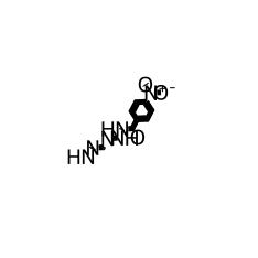 N=NC=NNNC(=O)c1ccc([N+](=O)[O-])cc1